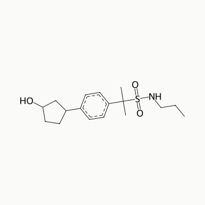 CCCNS(=O)(=O)C(C)(C)c1ccc(C2CCC(O)C2)cc1